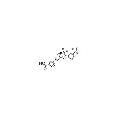 Cc1sc(/C=C/C(=O)NC(c2cccc(C(F)(F)F)c2)C(F)(F)F)cc1C(=O)O